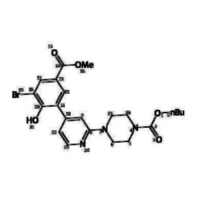 CCCCOC(=O)N1CCN(c2cc(-c3cc(C(=O)OC)cc(Br)c3O)ccn2)CC1